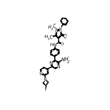 Cc1c(C(=O)Nc2ccc(-c3nc(-c4ccnc(N5CC(F)C5)c4)cnc3N)cc2)c(=O)n(-c2ccccc2)n1C